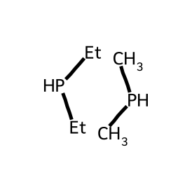 CCPCC.CPC